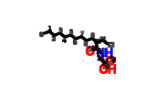 CCCCCCCCCCC(CC)C(=O)NCC(=O)O